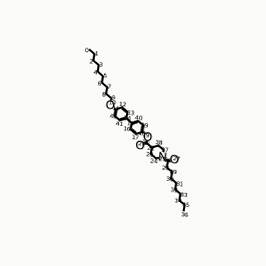 CCCCCCCCCCOc1ccc(-c2ccc(OC(=O)C3CCN(C(=O)CCCCCCCCC)CC3)cc2)cc1